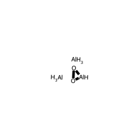 [AlH3].[AlH3].[O]1[O][AlH]1